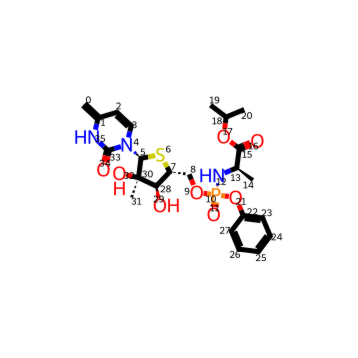 C=C1C=CN([C@@H]2S[C@H](CO[P@@](=O)(N[C@H](C)C(=O)OC(C)C)Oc3ccccc3)[C@@H](O)[C@@]2(C)O)C(=O)N1